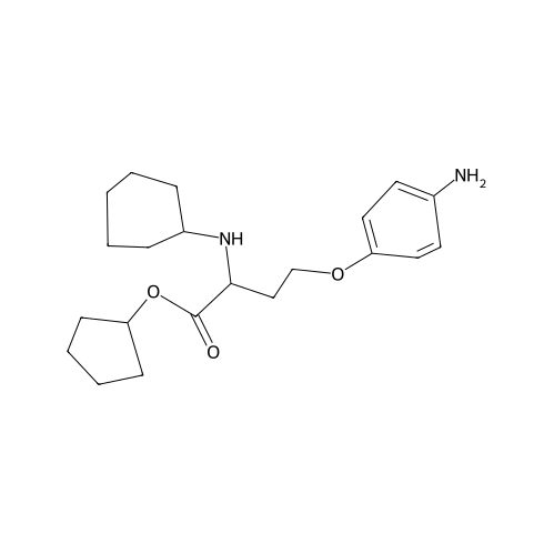 Nc1ccc(OCCC(NC2CCCCC2)C(=O)OC2CCCC2)cc1